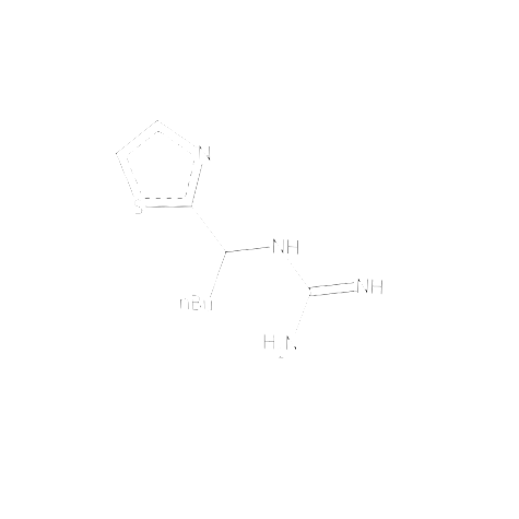 CCCCC(NC(=N)N)c1nccs1